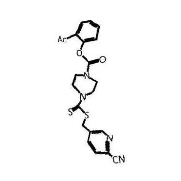 CC(=O)c1ccccc1OC(=O)N1CCN(C(=S)SCc2ccc(C#N)nc2)CC1